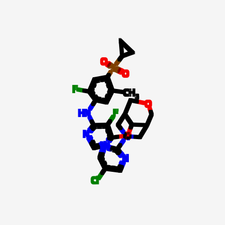 Cc1cc(Nc2ncnc(OC3C4COCC3CN(c3ncc(Cl)cn3)C4)c2F)c(F)cc1S(=O)(=O)C1CC1